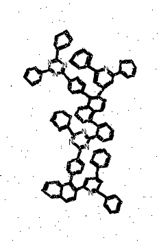 c1ccc(-c2cc(-c3ccccc3)nc(-c3ccc4ccccc4c3-c3ccc(-c4nc(-c5ccccc5)nc(-c5ccccc5-c5cccc6c(-c7ccc(-c8nc(-c9ccccc9)nc(-c9ccccc9)n8)cc7)c(-c7cc(-c8ccccc8)nc(-c8ccccc8)c7)ccc56)n4)cc3)c2)cc1